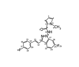 Cn1cccc1C(=O)Nn1nc(C=Cc2ccc(F)cc2)c2ccc(F)cc21